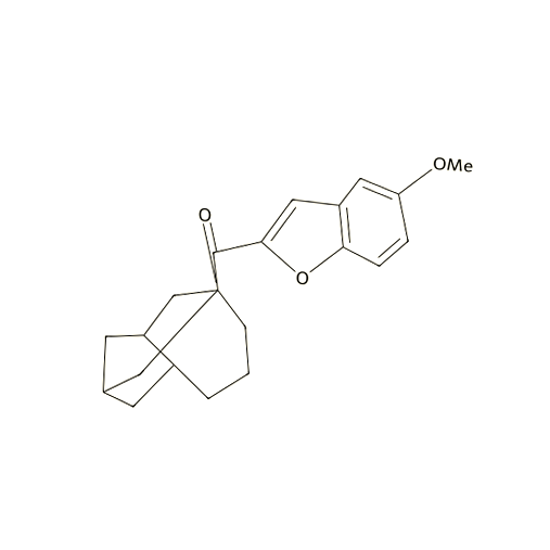 COc1ccc2oc(C(=O)C34CCCC5CC(CC5C3)C4)cc2c1